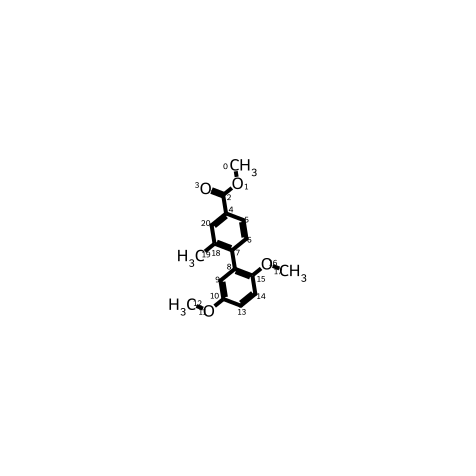 COC(=O)c1ccc(-c2cc(OC)ccc2OC)c(C)c1